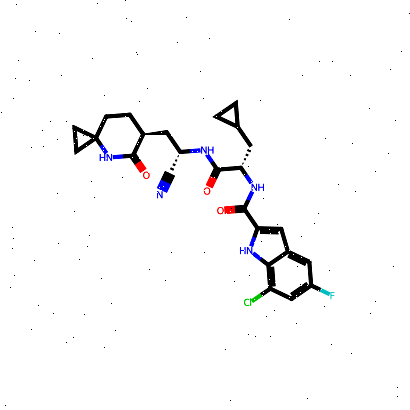 N#C[C@H](C[C@@H]1CCC2(CC2)NC1=O)NC(=O)[C@H](CC1CC1)NC(=O)c1cc2cc(F)cc(Cl)c2[nH]1